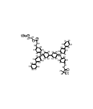 CCC(C)(C)C(=O)CCc1ccc(N(c2ccc(-c3ccccc3)cc2)c2ccc(-c3ccc(N(c4ccc(CCC(=O)OCCOC(C)(C)C)cc4)c4ccc(-c5ccccc5)cc4)cc3)cc2)cc1